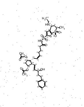 CCN[C@@H]1C[C@@H](C)S(=O)(=O)c2sc(S(=O)(=O)NC(=O)CCC/C=C\C[C@@H]3[C@@H](/C=C/[C@@H](O)CCc4ccccc4)[C@H](OC(C)=O)C[C@@H]3OC(C)=O)cc21